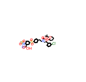 CC(C)(C)OC(=O)N(CCc1ccc(S(=O)(=O)c2ccc(NS(C)(=O)=O)c(C(=O)O)c2)cc1)C[C@@H](OC1CCCCO1)c1cccc(Cl)c1